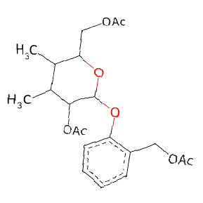 CC(=O)OCc1ccccc1OC1OC(COC(C)=O)C(C)C(C)C1OC(C)=O